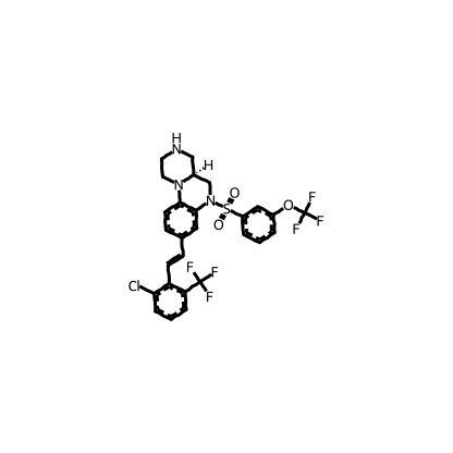 O=S(=O)(c1cccc(OC(F)(F)F)c1)N1C[C@@H]2CNCCN2c2ccc(/C=C/c3c(Cl)cccc3C(F)(F)F)cc21